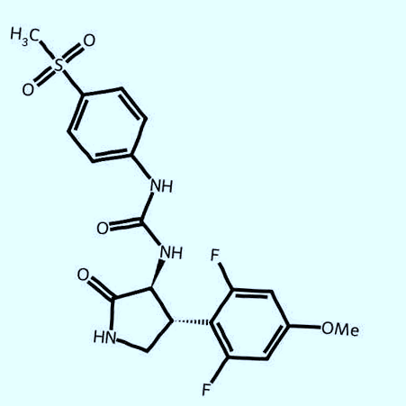 COc1cc(F)c([C@@H]2CNC(=O)[C@H]2NC(=O)Nc2ccc(S(C)(=O)=O)cc2)c(F)c1